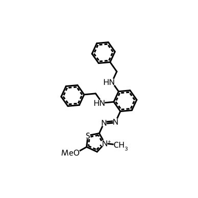 COc1c[n+](C)c(N=Nc2cccc(NCc3ccccc3)c2NCc2ccccc2)s1